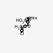 CCCCCCS(=O)(=O)c1ccc(C(=O)c2ccc(N(C)c3ccc(Cl)cc3)cc2)cc1C(=O)O